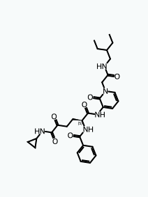 CCC(CC)CNC(=O)Cn1cccc(NC(=O)[C@H](CCC(=O)C(=O)NC2CC2)NC(=O)c2ccccc2)c1=O